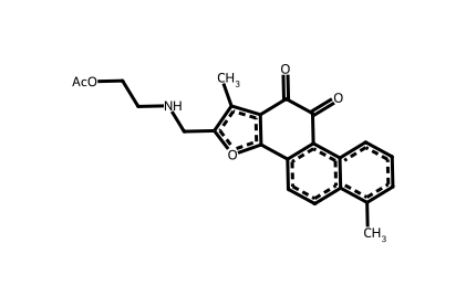 CC(=O)OCCNCc1oc2c(c1C)C(=O)C(=O)c1c-2ccc2c(C)cccc12